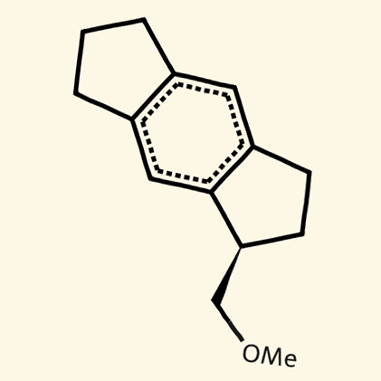 COC[C@@H]1CCc2cc3c(cc21)CCC3